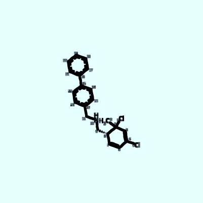 CC1(Cl)C=C(Cl)C=C[C@@H]1CNCc1ccc(-c2ccccc2)cc1